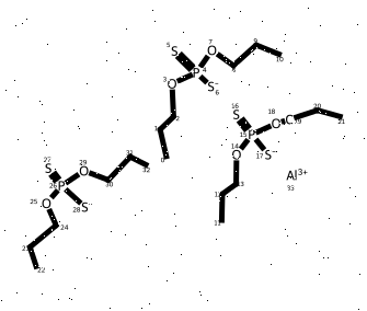 CCCOP(=S)([S-])OCCC.CCCOP(=S)([S-])OCCC.CCCOP(=S)([S-])OCCC.[Al+3]